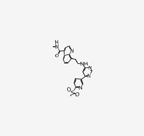 CNC(=O)c1ccnc2c(CCNc3cc(-c4ccc(S(C)(=O)=O)nc4)ncn3)cccc12